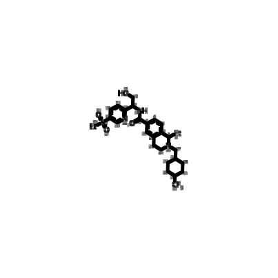 CCC1c2ccc(C(=O)NC(CO)c3ccc(S(=O)(=O)CC)cn3)cc2CCN1CC1CCC(C(F)(F)F)CC1